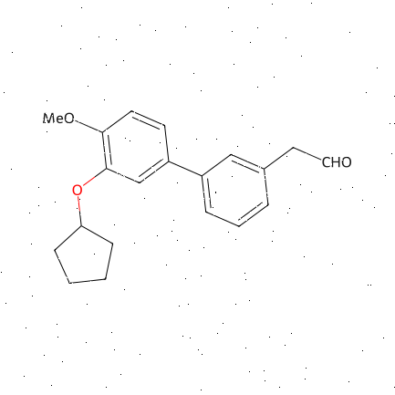 COc1ccc(-c2cccc(CC=O)c2)cc1OC1CCCC1